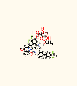 COCCN1CCC(N(Cc2ccc(-c3ccc(C(F)(F)F)cc3)cc2)C(=O)Cn2c(CCc3cccc(F)c3F)cc(=O)c3c2CCC3)CC1.O=C(O)C(O)C(O)C(=O)O